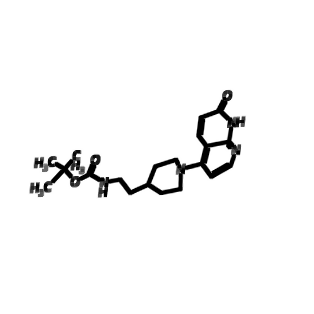 CC(C)(C)OC(=O)NCCC1CCN(c2ccnc3[nH]c(=O)ccc23)CC1